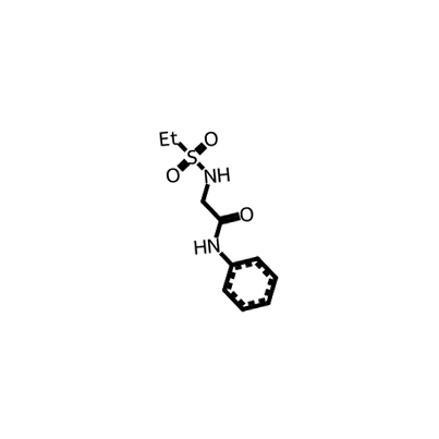 CCS(=O)(=O)NCC(=O)Nc1ccccc1